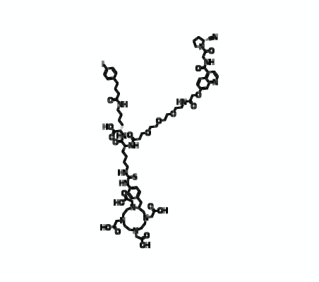 N#C[C@H]1CCCN1C(=O)CNC(=O)c1ccnc2cc(OCC(=O)NCCOCCOCCOCCC(=O)N[C@@H](CCCCNC(=S)Nc3ccc(CC4CN(CC(=O)O)CCN(CC(=O)O)CCN(CC(=O)O)CCN4CC(=O)O)cc3)C(=O)N[C@@H](CCCCNC(=O)CCCc3ccc(I)cc3)C(=O)O)ccc12